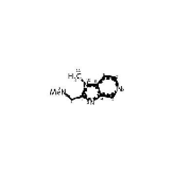 CNCc1nc2cnccc2n1C